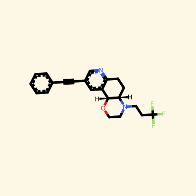 FC(F)(F)CCN1CCO[C@@H]2c3cc(C#Cc4ccccc4)cnc3CC[C@@H]21